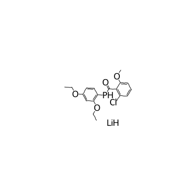 CCOc1ccc(PC(=O)c2c(Cl)cccc2OC)c(OCC)c1.[LiH]